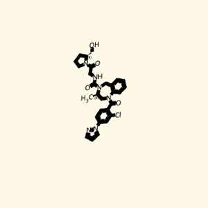 C[C@@H]1CN(C(=O)c2ccc(-n3cccn3)cc2Cl)c2ccccc2CN1C(=O)NCC(=O)N1CCC[C@@H]1CO